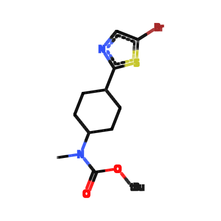 CN(C(=O)OC(C)(C)C)C1CCC(c2ncc(Br)s2)CC1